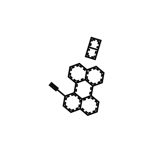 C#Cc1ccc2cccc3c4cccc5cccc(c1c23)c54.c1cc2ccc1-2